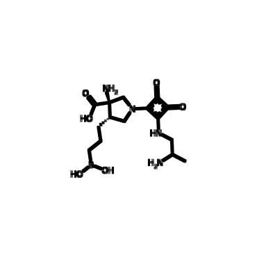 CC(N)CNc1c(N2C[C@H](CCCB(O)O)[C@](N)(C(=O)O)C2)c(=O)c1=O